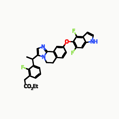 CCOC(=O)Cc1cccc(C(C)c2cnc3n2CCc2ccc(Oc4c(F)cc5[nH]ccc5c4F)cc2-3)c1F